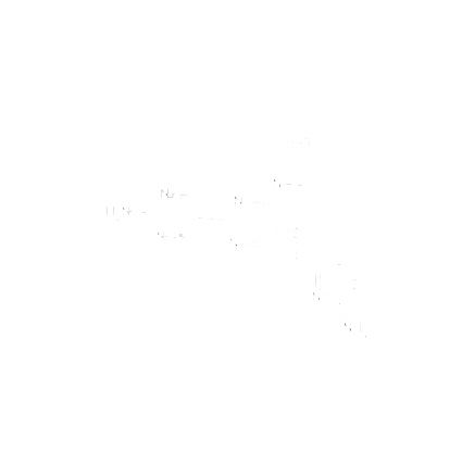 Nc1ncc(-c2nc(N3CCOCC3)c3sc(-c4csc(N)n4)cc3n2)cn1